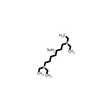 CCN(CC)CCC[CH]CCCN(CC)CC.[SnH2]